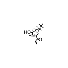 C=CC(=O)C(CO[Si](C)(C)C(C)(C)C)NC(=O)O